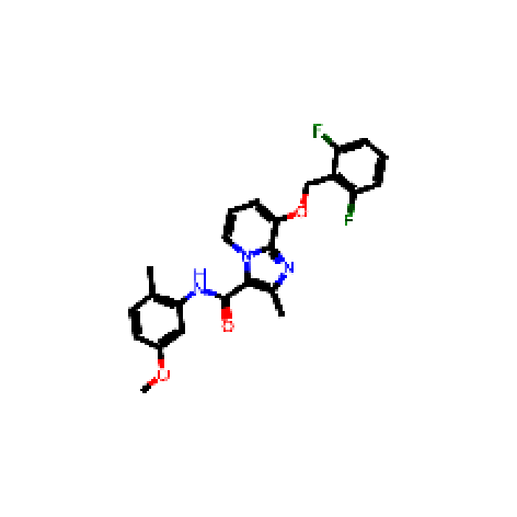 COc1ccc(C)c(NC(=O)c2c(C)nc3c(OCc4c(F)cccc4F)cccn23)c1